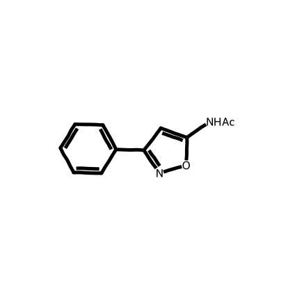 CC(=O)Nc1cc(-c2ccccc2)no1